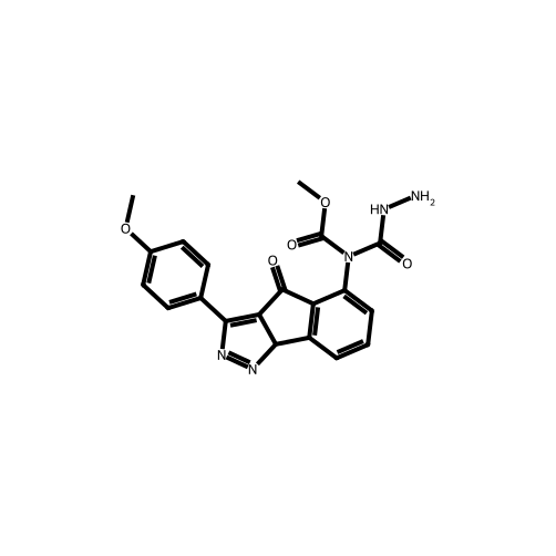 COC(=O)N(C(=O)NN)c1cccc2c1C(=O)C1=C(c3ccc(OC)cc3)N=NC12